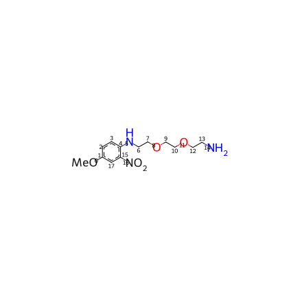 COc1ccc(NCCOCCOCCN)c([N+](=O)[O-])c1